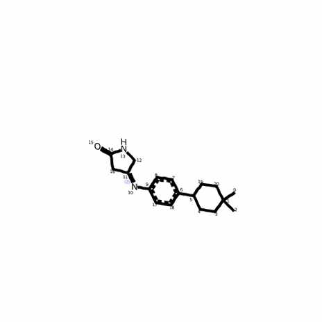 CC1(C)CCC(c2ccc(/N=C3\CNC(=O)C3)cc2)CC1